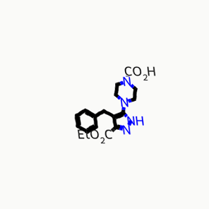 CCOC(=O)c1n[nH]c(N2CCN(C(=O)O)CC2)c1Cc1ccccc1